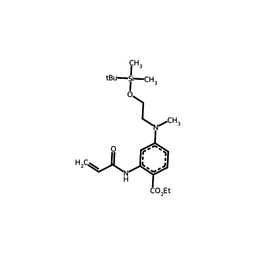 C=CC(=O)Nc1cc(N(C)CCO[Si](C)(C)C(C)(C)C)ccc1C(=O)OCC